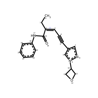 CC/C(=C/C#Cc1cnn(C2COC2)c1)C(=O)Nc1ccccc1